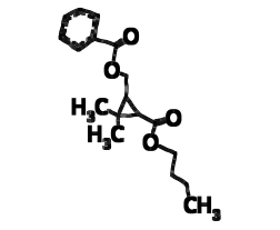 CCCCOC(=O)C1C(COC(=O)c2ccccc2)C1(C)C